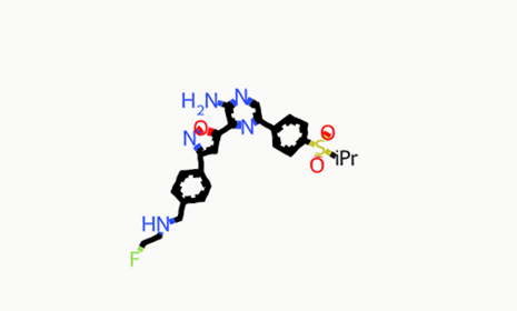 CC(C)S(=O)(=O)c1ccc(-c2cnc(N)c(-c3cc(-c4ccc(CNCCF)cc4)no3)n2)cc1